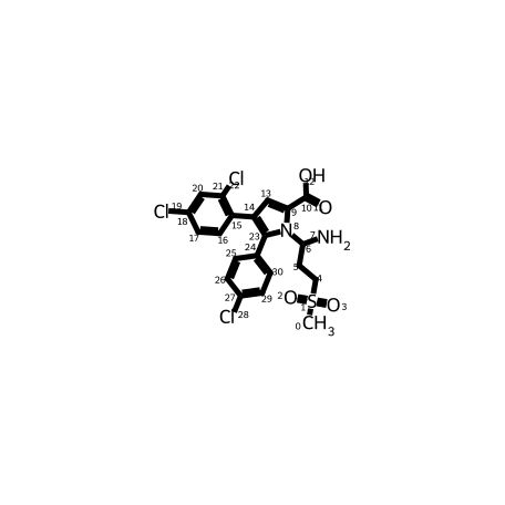 CS(=O)(=O)CCC(N)n1c(C(=O)O)cc(-c2ccc(Cl)cc2Cl)c1-c1ccc(Cl)cc1